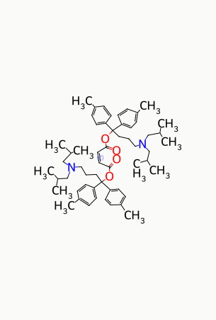 Cc1ccc(C(CCCN(CC(C)C)CC(C)C)(OC(=O)/C=C\C(=O)OC(CCCN(CC(C)C)CC(C)C)(c2ccc(C)cc2)c2ccc(C)cc2)c2ccc(C)cc2)cc1